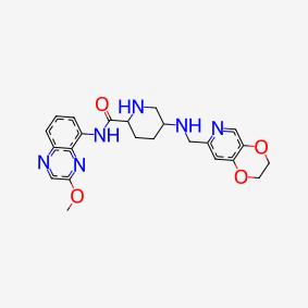 COc1cnc2cccc(NC(=O)C3CCC(NCc4cc5c(cn4)OCCO5)CN3)c2n1